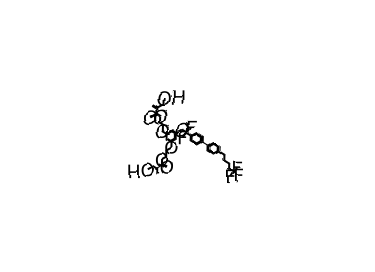 C=C(CO)C(=O)OCCOc1cc(OCCOC(=O)C(=C)CO)cc(OC(F)(F)c2ccc(-c3ccc(CCCCC(F)(F)F)cc3)cc2)c1